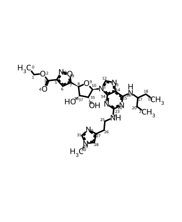 CCOC(=O)c1cc([C@H]2O[C@@H](n3cnc4c(NC(CC)CC)nc(NCCc5cn(C)cn5)nc43)[C@H](O)[C@@H]2O)on1